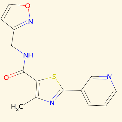 Cc1nc(-c2cccnc2)sc1C(=O)NCc1ccon1